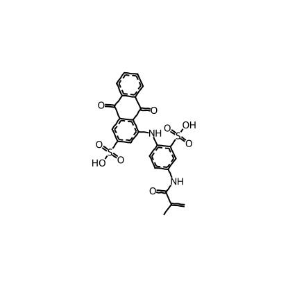 C=C(C)C(=O)Nc1ccc(Nc2cc(S(=O)(=O)O)cc3c2C(=O)c2ccccc2C3=O)c(S(=O)(=O)O)c1